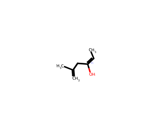 C=C(C)C/C(O)=C\C